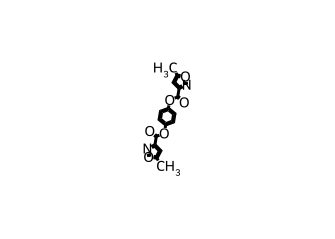 Cc1cc(C(=O)Oc2ccc(OC(=O)c3cc(C)on3)cc2)no1